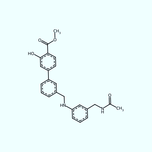 COC(=O)c1ccc(-c2cccc(CNc3cccc(CNC(C)=O)c3)c2)cc1O